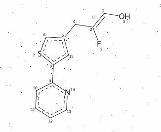 O/C=C(\F)Cc1csc(-c2ccccn2)c1